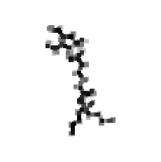 CCCCC(C)(CCCC)OC(=O)CCCCC(=O)OC(C)(CCCC)CCCC